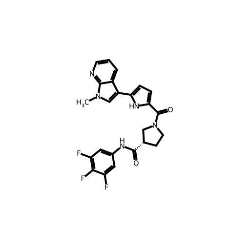 Cn1cc(-c2ccc(C(=O)N3CC[C@H](C(=O)Nc4cc(F)c(F)c(F)c4)C3)[nH]2)c2cccnc21